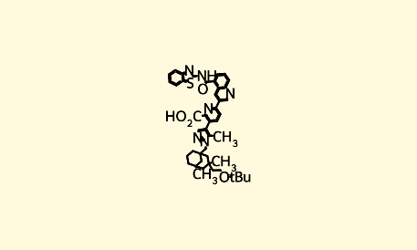 Cc1c(-c2ccc(-c3cnc4cccc(C(=O)Nc5nc6ccccc6s5)c4c3)nc2C(=O)O)cnn1CC12CCCC(C)(CC(C)(CCOC(C)(C)C)C1)C2